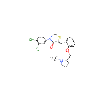 CN1CCCC1COc1ccccc1C=C1SCCN(c2ccc(Cl)c(Cl)c2)C1=O